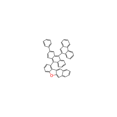 c1ccc(-c2ccc3c(-c4cccc5oc6cc7ccccc7cc6c45)c4ccccc4c(-c4cc5ccccc5c5ccccc45)c3c2)cc1